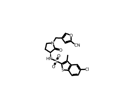 Cc1c(S(=O)(=O)N[C@H]2CCN(Cc3coc(C#N)c3)C2=O)sc2ccc(Cl)cc12